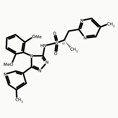 COc1cccc(OC)c1-n1c(NS(=O)(=O)[C@@H](C)Cc2ncc(C)cn2)nnc1-c1cncc(C)c1